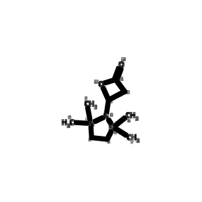 C[Si]1(C)CC[Si](C)(C)N1C1CC(=O)O1